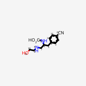 N#Cc1ccc(CC(CNCCO)NC(=O)O)cc1